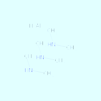 CNC.CNC.CNC.[AlH3]